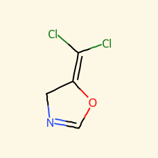 ClC(Cl)=C1CN=CO1